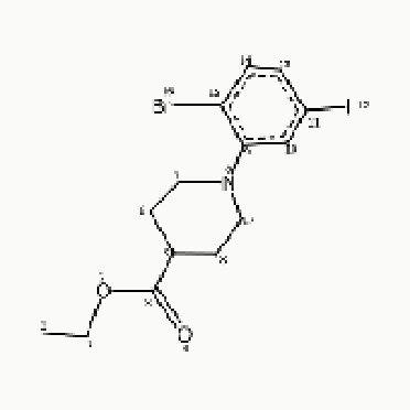 CCOC(=O)C1CCN(c2cc(I)ccc2Br)CC1